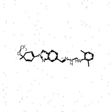 Cc1cccc(C)c1NCN/N=C/c1ccc2cn(C3=CCC(C)(OC(F)(F)F)C=C3)nc2c1